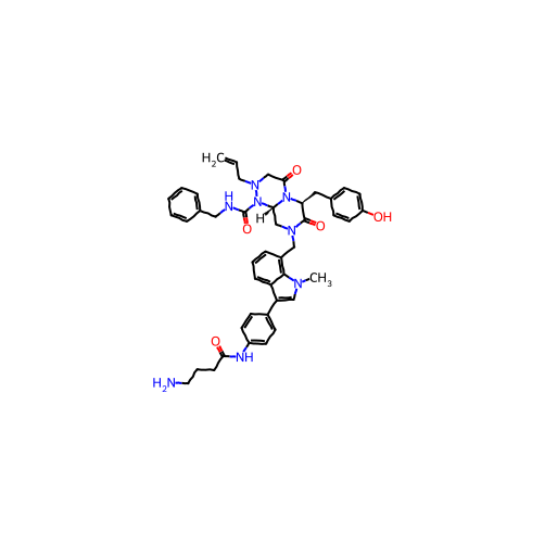 C=CCN1CC(=O)N2[C@@H](Cc3ccc(O)cc3)C(=O)N(Cc3cccc4c(-c5ccc(NC(=O)CCCN)cc5)cn(C)c34)C[C@@H]2N1C(=O)NCc1ccccc1